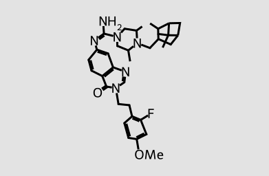 COc1ccc(CCn2cnc3cc(N=C(N)N4CC(C)N(CC5CC6CC(C5C)C6(C)C)C(C)C4)ccc3c2=O)c(F)c1